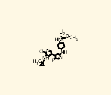 COC[C@@H](C)N[C@H]1CC[C@H](Nc2cc(-c3cnc(Cl)c(NCC4(C)CC4)c3)c(F)cn2)CC1